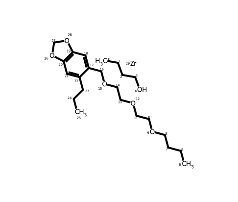 CCCCO.CCCCOCCOCCOCc1cc2c(cc1CCC)OCO2.[Zr]